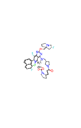 C/[N+](=C\C1CCN(C(=O)/C=C/C2CCCN2C(=O)OC(C)(C)C)C1)c1nc(OC[C@@]23CCCN2C[C@H](F)C3)nc2c(F)c(-c3cccc4ccc(F)c(Cl)c34)ncc12